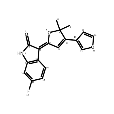 CC1(C)OC(=C2C(=O)Nc3cc(F)ccc32)C=C1c1ccoc1